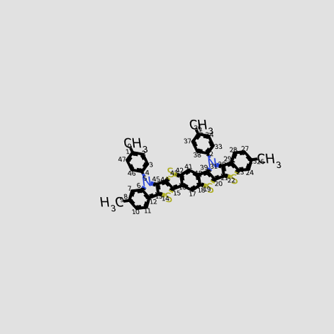 Cc1ccc(-n2c3cc(C)ccc3c3sc4c5cc6sc7c8sc9cc(C)ccc9c8n(-c8ccc(C)cc8)c7c6cc5sc4c32)cc1